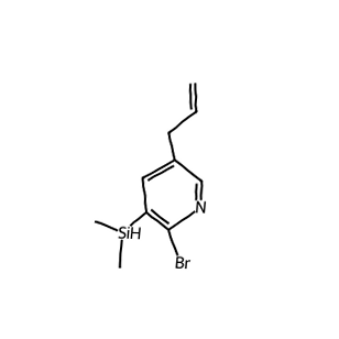 C=CCc1cnc(Br)c([SiH](C)C)c1